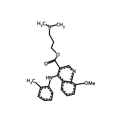 COc1cccc2c(Nc3ccccc3C)c(C(=O)OCCCN(C)C)cnc12